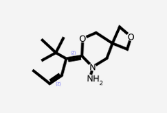 C/C=C\C(=C1\OCC2(COC2)CN1N)C(C)(C)C